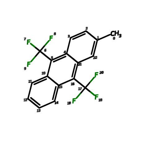 Cc1ccc2c(C(F)(F)F)c3ccccc3c(C(F)(F)F)c2c1